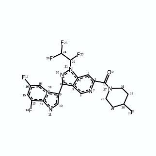 O=C(c1cc2c(cn1)c(-c1cnc3c(F)cc(F)cn13)nn2C(F)C(F)F)N1CCC(F)CC1